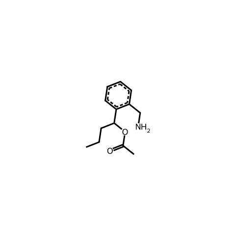 CCCC(OC(C)=O)c1ccccc1CN